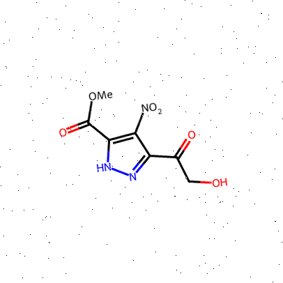 COC(=O)c1[nH]nc(C(=O)CO)c1[N+](=O)[O-]